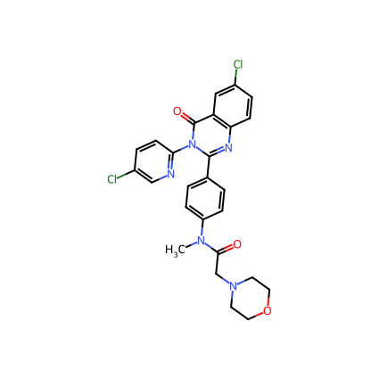 CN(C(=O)CN1CCOCC1)c1ccc(-c2nc3ccc(Cl)cc3c(=O)n2-c2ccc(Cl)cn2)cc1